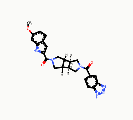 O=C(c1ccc2[nH]nnc2c1)N1C[C@@H]2[C@H](C1)[C@H]1CN(C(=O)c3cc4ccc(OC(F)(F)F)cc4[nH]3)C[C@@H]21